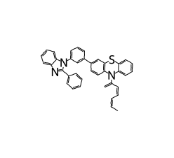 C=C(/C=C\C=C/C)N1c2ccccc2Sc2cc(-c3cccc(-n4c(-c5ccccc5)nc5ccccc54)c3)ccc21